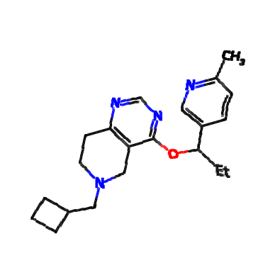 CCC(Oc1ncnc2c1CN(CC1CCC1)CC2)c1ccc(C)nc1